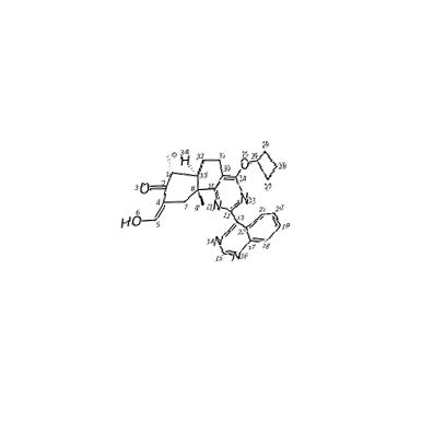 C[C@H]1C(=O)/C(=C\O)C[C@@]2(C)c3nc(-c4ncnc5ccccc45)nc(OC4CCC4)c3CC[C@H]12